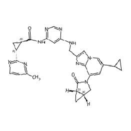 Cc1ccnc([C@@H]2C[C@H]2C(=O)Nc2cc(NCc3cn4cc(C5CC5)cc(N5C[C@@H]6C[C@@H]6C5=O)c4n3)ncn2)n1